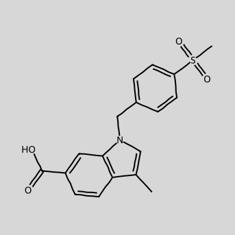 Cc1cn(Cc2ccc(S(C)(=O)=O)cc2)c2cc(C(=O)O)ccc12